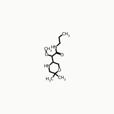 CCCNC(=O)C(OC)C1COC(C)(C)CN1